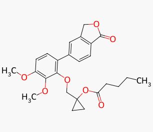 CCCCC(=O)OC1(COc2c(-c3ccc4c(c3)COC4=O)ccc(OC)c2OC)CC1